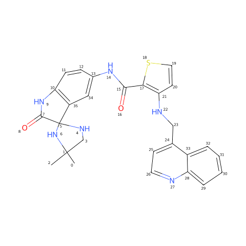 CC1(C)CNC2(N1)C(=O)Nc1ccc(NC(=O)c3sccc3NCc3ccnc4ccccc34)cc12